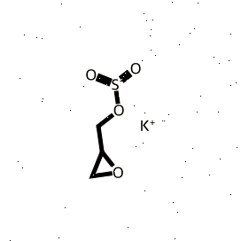 O=[S-](=O)OCC1CO1.[K+]